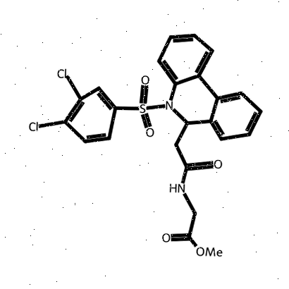 COC(=O)CNC(=O)CC1c2ccccc2-c2ccccc2N1S(=O)(=O)c1ccc(Cl)c(Cl)c1